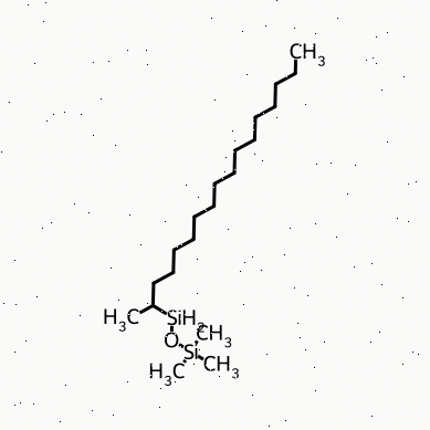 CCCCCCCCCCCCCCCC(C)[SiH2]O[Si](C)(C)C